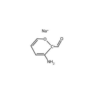 NC1=CC=CO[C-]1C=O.[Na+]